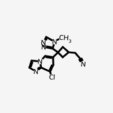 Cn1cnnc1C1(c2cc(Cl)c3nccn3c2)CC(CC#N)C1